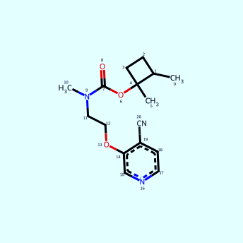 CC1CCC1(C)OC(=O)N(C)CCOc1cnccc1C#N